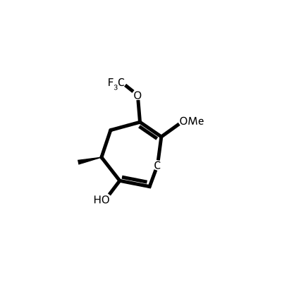 COC1=C(OC(F)(F)F)C[C@H](C)C(O)=CC1